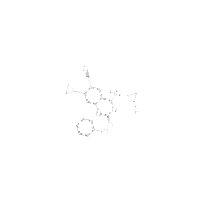 N#Cc1cc2c(N[C@@H]3C[C@H]3F)nc(=O)n(-c3ccccc3Cl)c2cc1C1CC1